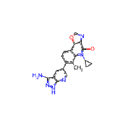 Cc1c(-c2cnc3[nH]nc(N)c3c2)ccc2c3ocnc3c(=O)n(C3CC3)c12